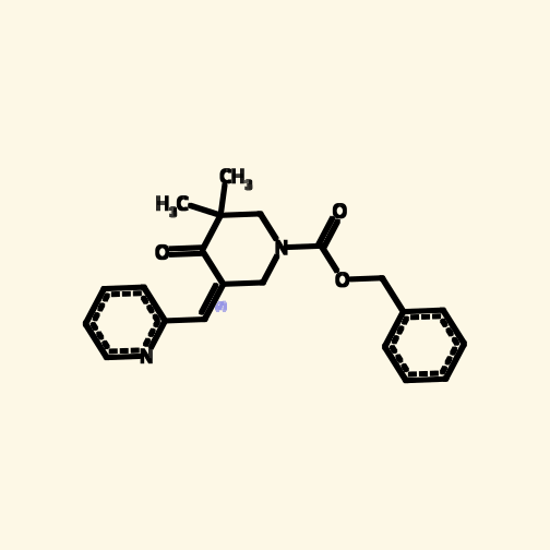 CC1(C)CN(C(=O)OCc2ccccc2)C/C(=C/c2ccccn2)C1=O